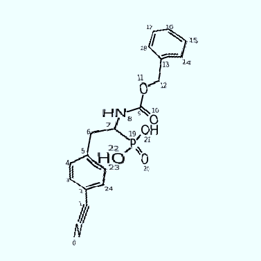 N#Cc1ccc(CC(NC(=O)OCc2ccccc2)P(=O)(O)O)cc1